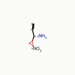 C=CCO[N+](=O)[O-].N